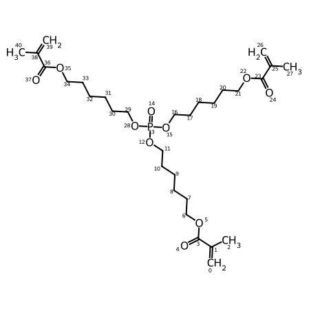 C=C(C)C(=O)OCCCCCCOP(=O)(OCCCCCCOC(=O)C(=C)C)OCCCCCCOC(=O)C(=C)C